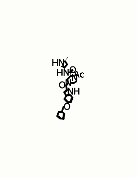 CC(=O)N1CCN(C(=O)c2cc3cc(OCc4ccccc4)ccc3[nH]2)C[C@@H]1C(=O)N[C@@H]1CN[C@H](C)C1